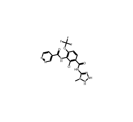 CN1NNN=C1NC(=O)c1ccc(OC(F)(F)F)c(NC(=O)c2ccnnc2)c1Cl